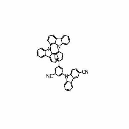 N#Cc1cc(-c2ccc(-n3c4ccccc4c4cccc(-n5c6ccccc6c6ccccc65)c43)cc2)cc(-n2c3ccccc3c3cc(C#N)ccc32)c1